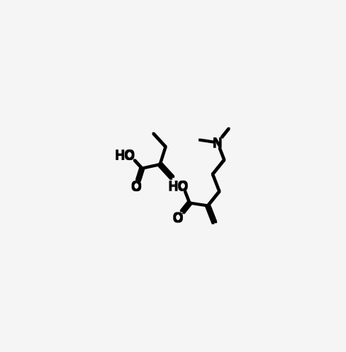 C=C(CC)C(=O)O.C=C(CCCN(C)C)C(=O)O